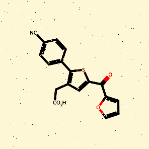 N#Cc1ccc(-c2sc(C(=O)c3ccco3)cc2CC(=O)O)cc1